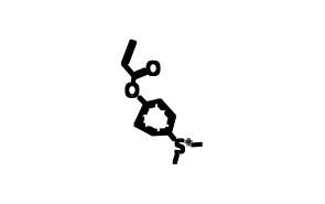 C=CC(=O)Oc1ccc([S+](C)C)cc1